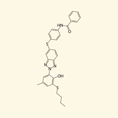 CCCCSc1cc(C)cc(-n2nc3ccc(Sc4ccc(NC(=O)c5ccccc5)cc4)cc3n2)c1O